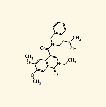 CCn1cc(C(=O)N(CCN(C)C)Cc2ccccc2)c2cc(OC)c(OC)cc2c1=O